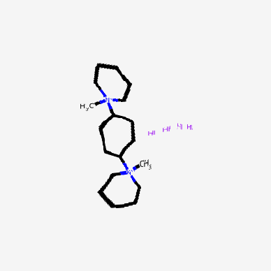 C[N+]1(C2CCC([N+]3(C)CCCCC3)CC2)CCCCC1.I.I.I.I